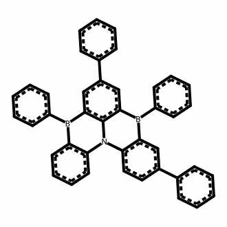 c1ccc(B2c3ccccc3N3c4ccc(-c5ccccc5)cc4B(c4ccccc4)c4cc(-c5ccccc5)cc2c43)cc1